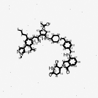 CCCCc1cc(-c2cnn(C)c2)c(C(F)F)cc1CC(N)C1=C(NC2CCN(Cc3ccc(CNc4cccc5c4CN(C4CCC(=O)NC4=O)C5=O)cc3)CC2)CN(C(C)=O)C1